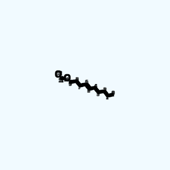 CCCCCC=CCCCOC=O